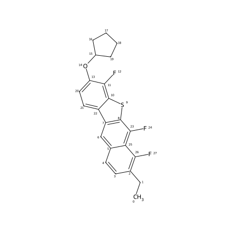 CCc1ccc2cc3c(sc4c(F)c(OC5CCCC5)ccc43)c(F)c2c1F